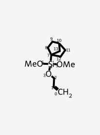 C=CCO[Si](OC)(OC)C12CCC(CC1)C2